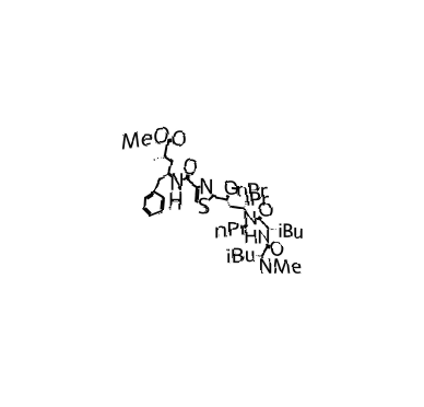 CCCO[C@H](C[C@H](C(C)C)N(CCC)C(=O)[C@@H](NC(=O)[C@@H](NC)[C@@H](C)CC)[C@@H](C)CC)c1nc(C(=O)N[C@@H](Cc2ccccc2)C[C@H](C)C(=O)OC)cs1